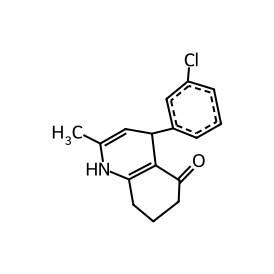 CC1=CC(c2cccc(Cl)c2)C2=C(CCCC2=O)N1